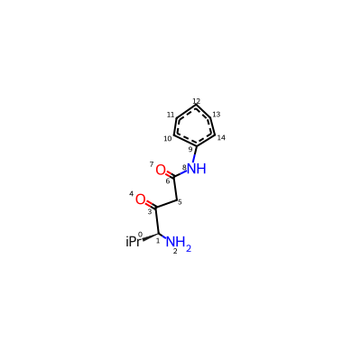 CC(C)[C@H](N)C(=O)CC(=O)Nc1ccccc1